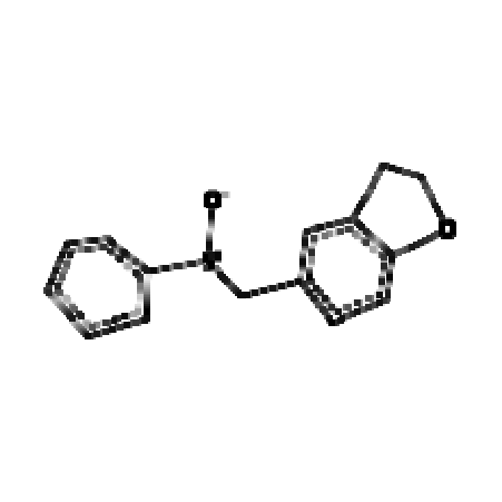 [O-][S+](Cc1ccc2c(c1)CCO2)c1ccccc1